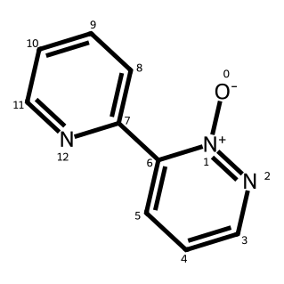 [O-][n+]1ncccc1-c1ccccn1